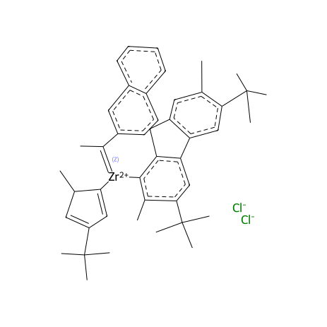 C/[C](c1ccc2ccccc2c1)=[Zr+2](\[C]1=CC(C(C)(C)C)=CC1C)[c]1c(C)c(C(C)(C)C)cc2c1Cc1cc(C)c(C(C)(C)C)cc1-2.[Cl-].[Cl-]